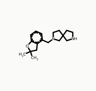 CC1(C)Cc2c(CN3CCC4(CCNC4)C3)cccc2O1